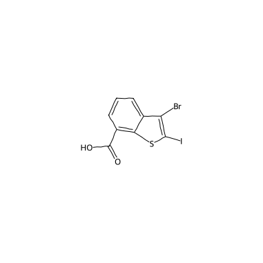 O=C(O)c1cccc2c(Br)c(I)sc12